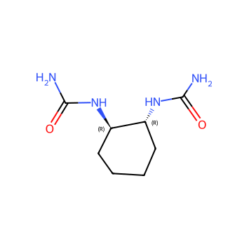 NC(=O)N[C@@H]1CCCC[C@H]1NC(N)=O